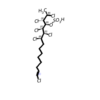 C[C@@H](Cl)[C@@H](Cl)[C@@H](OS(=O)(=O)O)[C@H](Cl)[C@@H](Cl)[C@H](Cl)CCCCCC/C=C/Cl